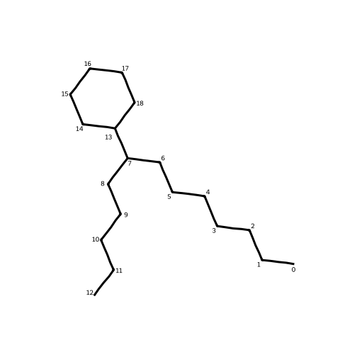 CCCCCCCC(CCCCC)C1CCCCC1